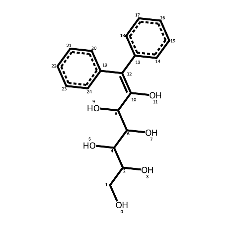 OCC(O)C(O)C(O)C(O)C(O)=C(c1ccccc1)c1ccccc1